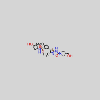 COc1ccc(-c2sc(NC(=O)N3CCC(CO)CC3)nc2C)cc1S(=O)(=O)Nc1ccc(O)cc1